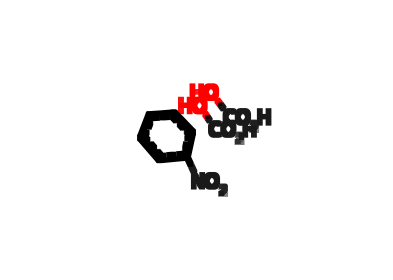 O=C(O)O.O=C(O)O.O=[N+]([O-])c1ccccc1